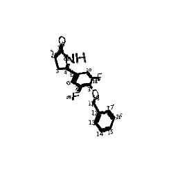 O=C1CCC(c2cc(F)c(OCc3ccccc3)c(F)c2)N1